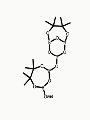 COB1OB(OB2OB3OB(O2)OC(C)(C)C(C)(C)O3)OC(C)(C)C(C)(C)O1